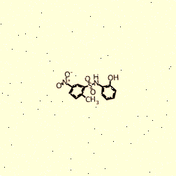 Cc1ccc([N+](=O)[O-])cc1S(=O)(=O)Nc1ccccc1O